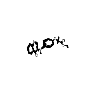 CCOC(=O)C(C)(C)Oc1ccc(N(C)c2cnc3ccccc3c2Cl)cc1